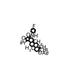 CC(=O)O[C@H]1CC[C@@]2(C)C(CC[C@@]3(C)C4CCC5(C(=O)Nc6ccc(F)cc6)CC(=O)C(C(C)C)=C5C4CCC32)C1(C)C